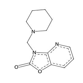 O=c1oc2cccnc2n1CN1CCCCC1